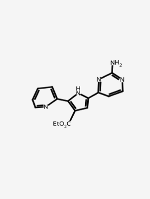 CCOC(=O)c1cc(-c2ccnc(N)n2)[nH]c1-c1ccccn1